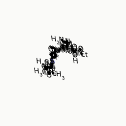 CCNC(=O)[C@H]1O[C@@H](n2cnc3c(N)nc(NCCN4CCOc5cc(/C=C/c6nc7c(c(=O)n(C)c(=O)n7C)n6C)ccc54)nc32)[C@H](O)[C@@H]1O